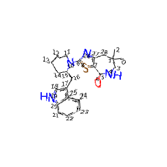 CC1(C)CNC(=O)c2sc(N3CCCC[C@@H]3Cc3c[nH]c4ccccc34)nc2C1